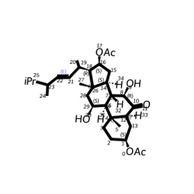 CC(=O)O[C@H]1CC[C@]2(C)[C@@H]3[C@@H]([C@@H](O)C(=O)[C@H]2C1)[C@@H]1C[C@H](OC(C)=O)[C@H](C(C)/C=C/C(C)C(C)C)[C@@]1(C)C[C@@H]3O